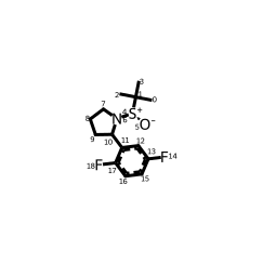 CC(C)(C)[S@+]([O-])N1CCCC1c1cc(F)ccc1F